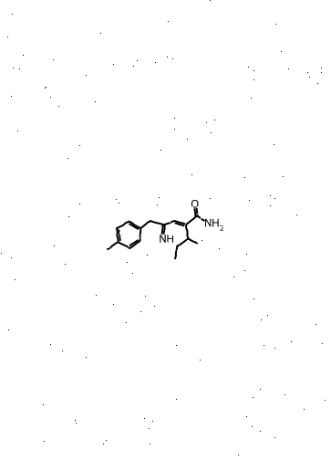 CCC(C)/C(=C\C(=N)Cc1ccc(C)cc1)C(N)=O